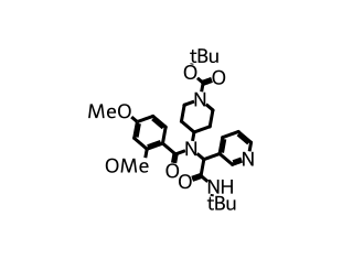 COc1ccc(C(=O)N(C2CCN(C(=O)OC(C)(C)C)CC2)C(C(=O)NC(C)(C)C)c2cccnc2)c(OC)c1